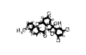 C[C@H](NC(=O)c1cnc2c(ccn2C)c1)C(O)(c1cc(Cl)cc(Cl)c1)c1cc(Cl)cc(Cl)c1